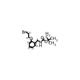 CC(C)(C)OC(=O)NCc1ccccc1OCCBr